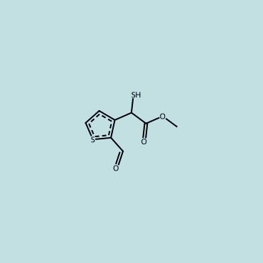 COC(=O)C(S)c1ccsc1C=O